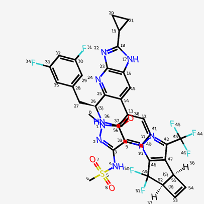 Cn1nc(NS(C)(=O)=O)c2cccc(-c3cc4[nH]c(C5CC5)nc4nc3[C@H](Cc3cc(F)cc(F)c3)NC(=O)Cn3nc(C(F)(F)F)c4c3C(F)(F)[C@@H]3C=C[C@H]43)c21